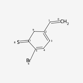 C=CC1=CC=C(Br)C(=S)C1